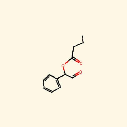 CCCC(=O)OC(C=O)c1ccccc1